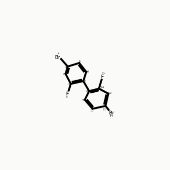 Fc1cc(Br)ccc1-c1ccc(Br)cc1F